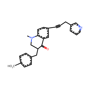 CN1CC(Cc2ccc(C(=O)O)cc2)C(=O)c2cc(C#CCc3cccnc3)ccc21